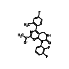 Cc1cc(F)ccc1-c1nc([S+](C)[O-])nc2c1CNC(=O)N2c1cccc(F)c1F